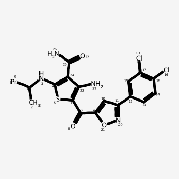 CC(C)C(C)Nc1sc(C(=O)c2cc(-c3ccc(Cl)c(Cl)c3)no2)c(N)c1C(N)=O